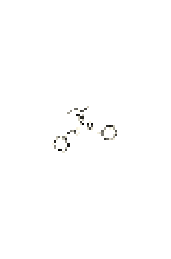 CCCC.O=[PH](OCc1ccccc1)OCc1ccccc1